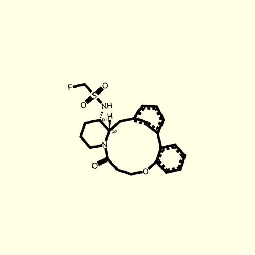 O=C1CCOc2ccccc2-c2cccc(c2)C[C@H]2[C@@H](NS(=O)(=O)CF)CCCN12